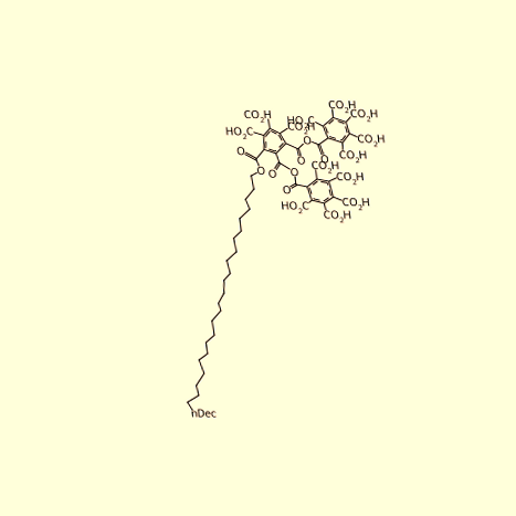 CCCCCCCCCCCCCCCCCCCCCCCCCCCCCCCCCOC(=O)c1c(C(=O)O)c(C(=O)O)c(C(=O)O)c(C(=O)OC(=O)c2c(C(=O)O)c(C(=O)O)c(C(=O)O)c(C(=O)O)c2C(=O)O)c1C(=O)OC(=O)c1c(C(=O)O)c(C(=O)O)c(C(=O)O)c(C(=O)O)c1C(=O)O